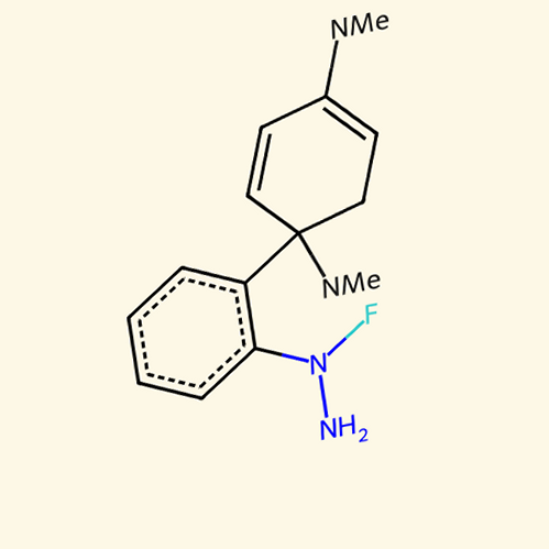 CNC1=CCC(NC)(c2ccccc2N(N)F)C=C1